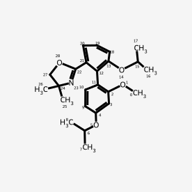 COc1cc(OC(C)C)ccc1-c1c(OC(C)C)cccc1C1=NC(C)(C)CO1